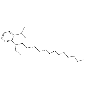 CCCCCCCCCCCCCC(CC)c1ccccc1C(C)C